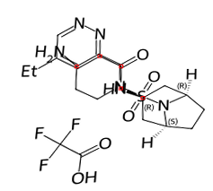 CCc1cnnc(C(=O)N[C@H]2C[C@H]3CC[C@@H](C2)N3S(=O)(=O)N2CCC(N)CC2)c1.O=C(O)C(F)(F)F